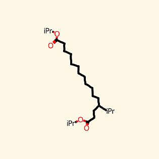 CC(C)OC(=O)CCCCCCCCCCCC(CCC(=O)OC(C)C)C(C)C